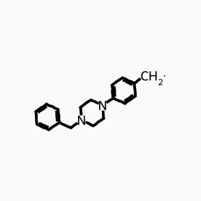 [CH2]c1ccc(N2CCN(Cc3ccccc3)CC2)cc1